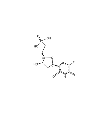 O=c1[nH]c(=O)n([C@H]2CC(O)[C@@H](CCP(=O)(O)O)O2)cc1F